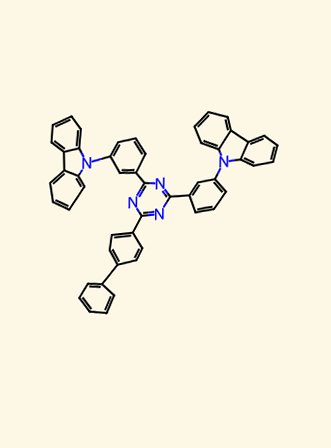 c1ccc(-c2ccc(-c3nc(-c4cccc(-n5c6ccccc6c6ccccc65)c4)nc(-c4cccc(-n5c6ccccc6c6ccccc65)c4)n3)cc2)cc1